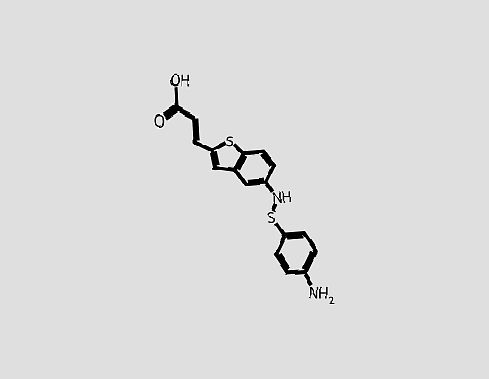 Nc1ccc(SNc2ccc3sc(/C=C/C(=O)O)cc3c2)cc1